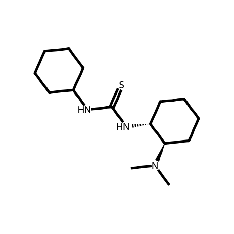 CN(C)[C@@H]1CCCC[C@H]1NC(=S)NC1CCCCC1